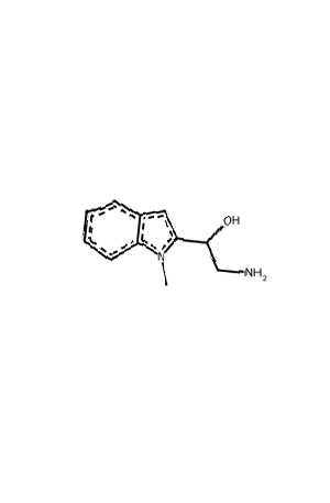 Cn1c(C(O)CN)cc2ccccc21